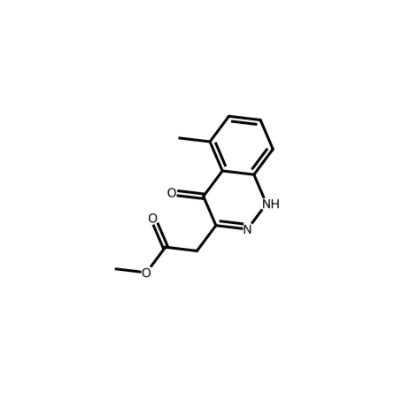 COC(=O)Cc1n[nH]c2cccc(C)c2c1=O